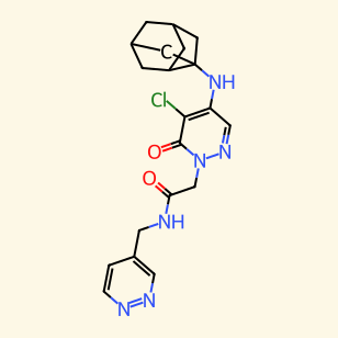 O=C(Cn1ncc(NC23CC4CC(CC2C4)C3)c(Cl)c1=O)NCc1ccnnc1